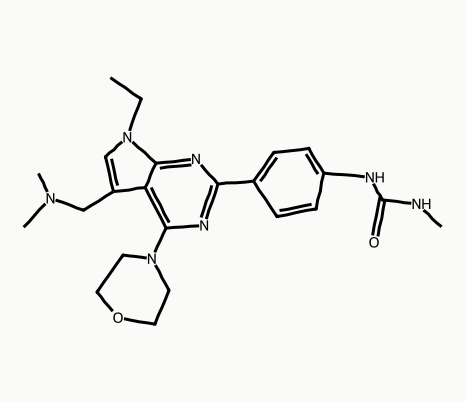 CCn1cc(CN(C)C)c2c(N3CCOCC3)nc(-c3ccc(NC(=O)NC)cc3)nc21